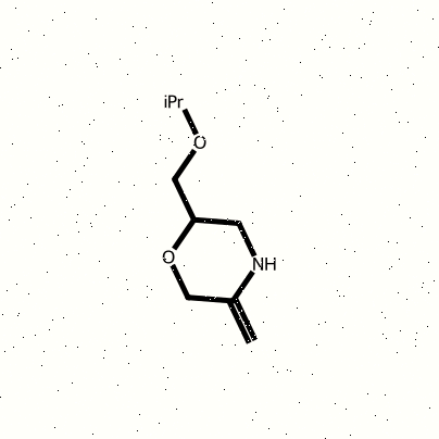 C=C1COC(COC(C)C)CN1